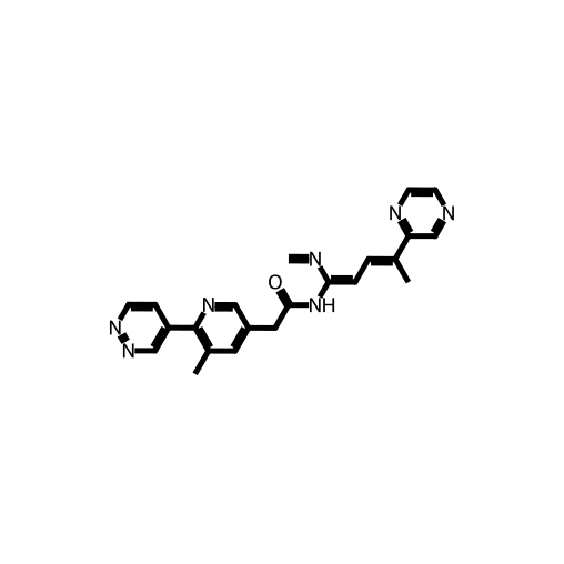 C=N/C(=C\C=C(/C)c1cnccn1)NC(=O)Cc1cnc(-c2ccnnc2)c(C)c1